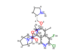 Cc1c(OC[C@@H]2CCCN2C)nc(N2CC3CCC(C2)N3C(=O)OC(C)(C)C)c2cnc(Cl)c(F)c12